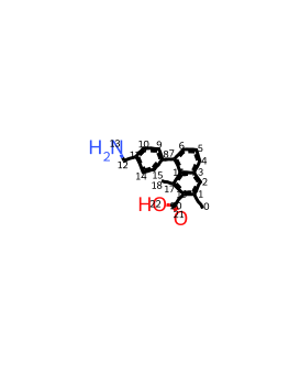 Cc1cc2cccc(-c3ccc(CN)cc3)c2c(C)c1C(=O)O